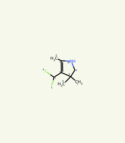 CC1=C(C(F)F)C(C)(C)CN1